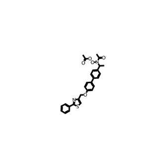 CC(=O)OON(C(C)=O)C(C)c1ccc(-c2ccc(OCc3csc(-c4ccccc4)n3)cc2)cc1